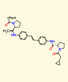 C=C(Nc1ccc(/C=C/c2ccc(NC(=O)[C@@H]3CCCN3C(=O)CC3CC3)cc2)cc1)[C@@H]1CCCN1C(=O)CCCCC